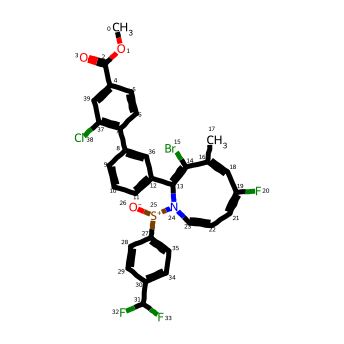 COC(=O)c1ccc(-c2cccc(-c3c(Br)c(C)cc(F)cccn3[S+]([O-])c3ccc(C(F)F)cc3)c2)c(Cl)c1